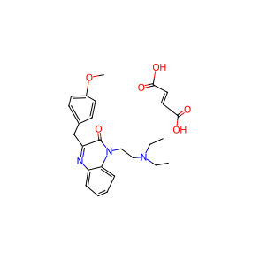 CCN(CC)CCn1c(=O)c(Cc2ccc(OC)cc2)nc2ccccc21.O=C(O)/C=C/C(=O)O